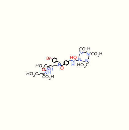 O=C(O)CC[C@@H](NC(=O)N[C@H](CCCCN(Cc1ccc(Br)cc1)C(=O)c1ccc(CNC(O)CN2CCN(CC(=O)O)CCN(CC(=O)O)CCN(CC(=O)O)CC2)cc1)C(=O)O)C(=O)O